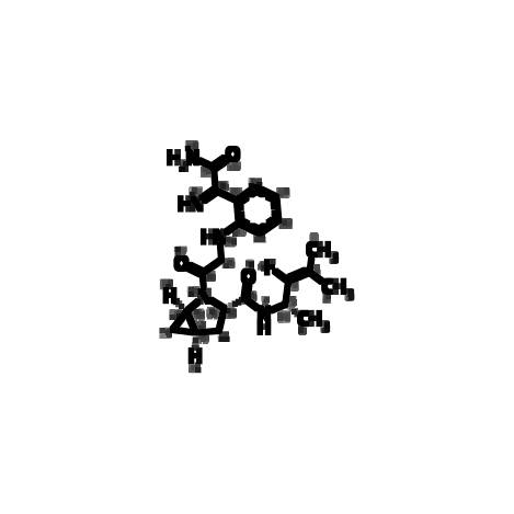 CC(C)=C(F)[C@H](C)NC(=O)[C@@H]1C[C@H]2C[C@H]2N1C(=O)CNc1ccccc1C(=N)C(N)=O